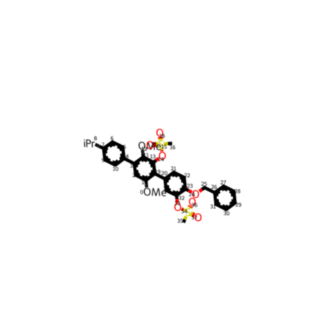 COc1cc(-c2ccc(C(C)C)cc2)c(OC)c(OS(C)(=O)=O)c1-c1ccc(OCc2ccccc2)c(OS(C)(=O)=O)c1